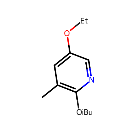 CCOc1cnc(OCC(C)C)c(C)c1